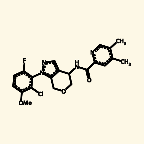 COc1ccc(F)c(-n2ncc3c2COCC3NC(=O)c2cc(C)c(C)cn2)c1Cl